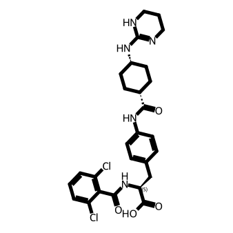 O=C(N[C@@H](Cc1ccc(NC(=O)[C@H]2CC[C@@H](NC3=NCCCN3)CC2)cc1)C(=O)O)c1c(Cl)cccc1Cl